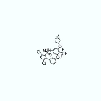 COc1cccc(-c2c(Cl)sc(Cl)c2S(=O)(=O)Nc2ccc(C(F)(F)F)c(OC3CCN(C)C3)c2)c1